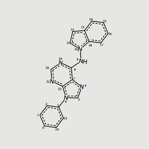 c1ccc(-n2cnc3c(Nn4ccc5ccccc54)ncnc32)cc1